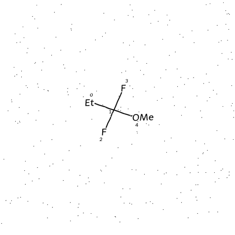 [CH2]CC(F)(F)OC